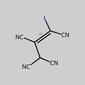 N#C/C(I)=C(/C#N)C(C#N)C#N